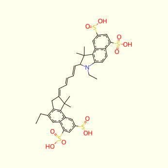 CCc1cc2c(S(=O)(=O)O)cc(S(=O)O)cc2c2c1C/C(=C/C=C/C=C/C1N(CC)c3ccc4c(S(=O)(=O)O)cc(S(=O)O)cc4c3C1(C)C)C2(C)C